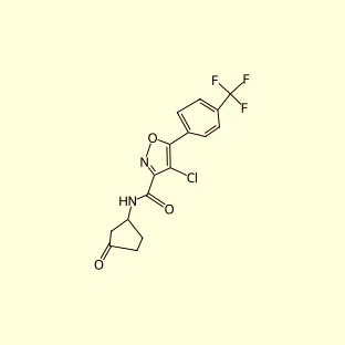 O=C1CCC(NC(=O)c2noc(-c3ccc(C(F)(F)F)cc3)c2Cl)C1